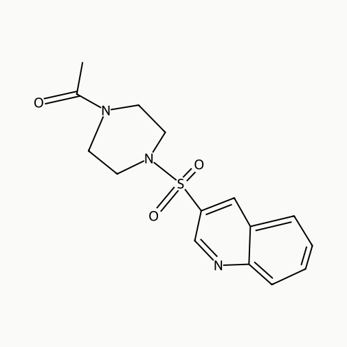 CC(=O)N1CCN(S(=O)(=O)c2cnc3ccccc3c2)CC1